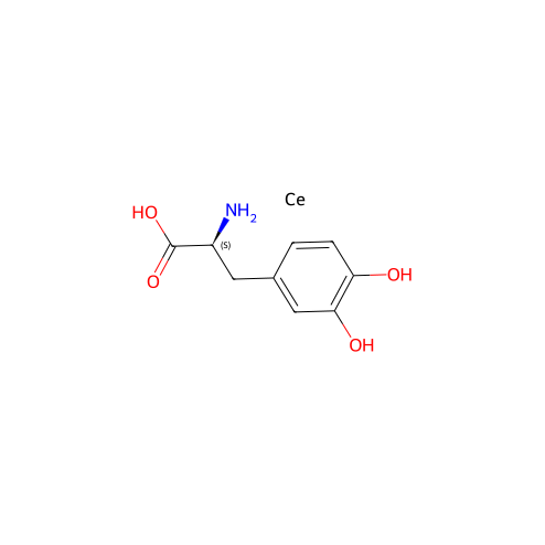 N[C@@H](Cc1ccc(O)c(O)c1)C(=O)O.[Ce]